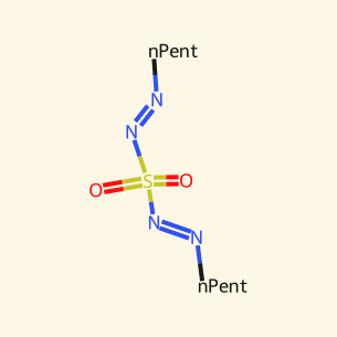 CCCCCN=NS(=O)(=O)N=NCCCCC